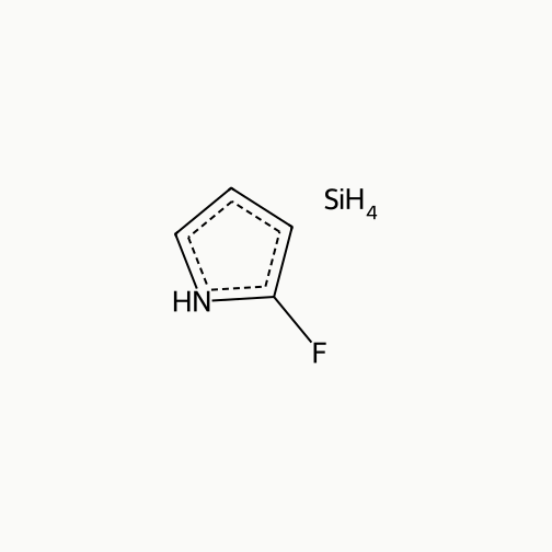 Fc1ccc[nH]1.[SiH4]